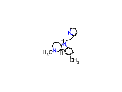 Cc1ccc2c(c1)[C@@H]1CN(C)CCC[C@H]1N2CCc1ccccn1